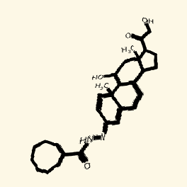 CC12C=C/C(=N\NC(=O)C3CCCCCCC3)C=C1CCC1C2C(O)CC2(C)C(C(=O)CO)CCC12